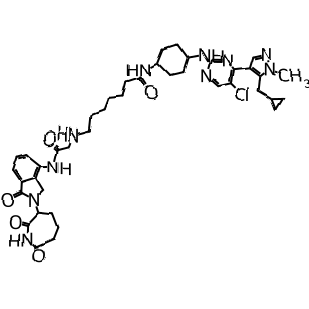 Cn1ncc(-c2nc(NC3CCC(NC(=O)CCCCCCNCC(=O)Nc4cccc5c4CN(C4CCCC(=O)NC4=O)C5=O)CC3)ncc2Cl)c1CC1CC1